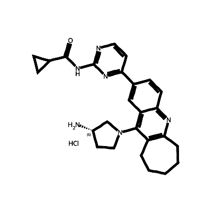 Cl.N[C@H]1CCN(c2c3c(nc4ccc(-c5ccnc(NC(=O)C6CC6)n5)cc24)CCCCC3)C1